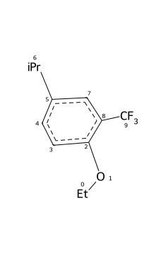 CCOc1ccc(C(C)C)cc1C(F)(F)F